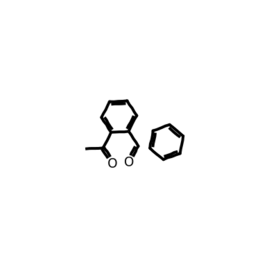 CC(=O)c1ccccc1C=O.c1ccccc1